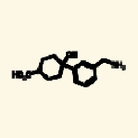 NCc1cccc(C2(O)CCN(C(=O)O)CC2)c1